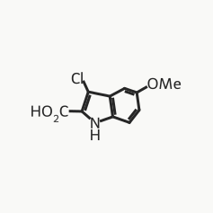 COc1ccc2[nH]c(C(=O)O)c(Cl)c2c1